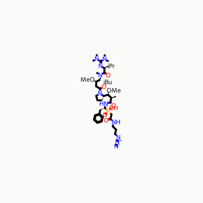 CC[C@H](C)[C@@H]([C@@H](CC(=O)N1CCC[C@H]1[C@H](OC)[C@@H](C)C(=O)N[C@@H](Cc1ccccc1)P(=O)(O)CC(=O)NCCCN=[N+]=[N-])OC)N(C)C(=O)[C@@H](N=C(N(C)C)N(C)C)C(C)C